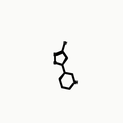 BrC1=NO[C@H]([C@@H]2CCCNC2)C1